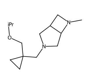 CC(C)OCC1(CN2CC3CN(C)C3C2)CC1